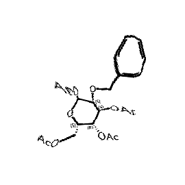 CC(=O)OC[C@@H]1OC(OC(C)=O)[C@@H](OCc2ccccc2)[C@@H](OC(C)=O)[C@@H]1OC(C)=O